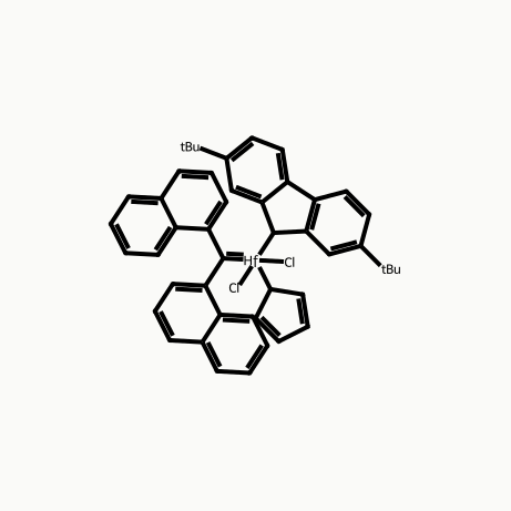 CC(C)(C)c1ccc2c(c1)[CH]([Hf]([Cl])([Cl])(=[C](c1cccc3ccccc13)c1cccc3ccccc13)[CH]1C=CC=C1)c1cc(C(C)(C)C)ccc1-2